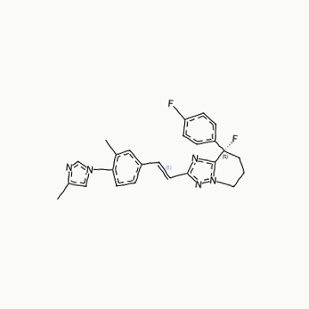 Cc1cn(-c2ccc(/C=C/c3nc4n(n3)CCC[C@]4(F)c3ccc(F)cc3)cc2C)cn1